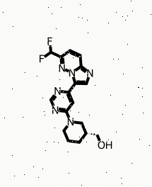 OC[C@@H]1CCCN(c2cc(-c3cnc4ccc(C(F)F)nn34)ncn2)C1